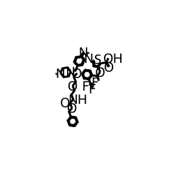 CC(Oc1cc(-n2cnc3ccc(CN4CCN(C)CC4)cc32)sc1C(=O)O)c1ccc(OCCOCCNC(=O)OCc2ccccc2)cc1C(F)(F)F